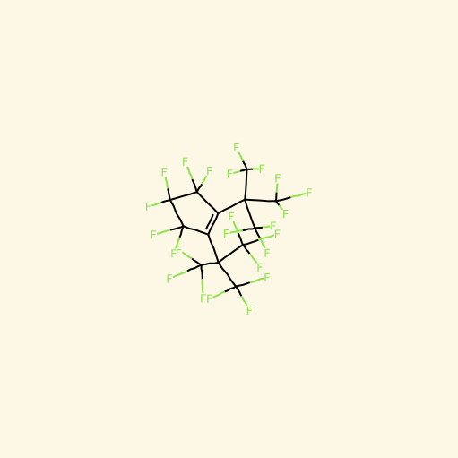 FC(F)(F)C(C1=C(C(C(F)(F)F)(C(F)(F)F)C(F)(F)F)C(F)(F)C(F)(F)C1(F)F)(C(F)(F)F)C(F)(F)F